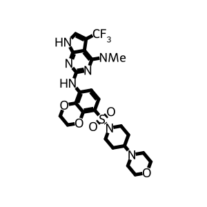 CNc1nc(Nc2ccc(S(=O)(=O)N3CCC(N4CCOCC4)CC3)c3c2OCCO3)nc2[nH]cc(C(F)(F)F)c12